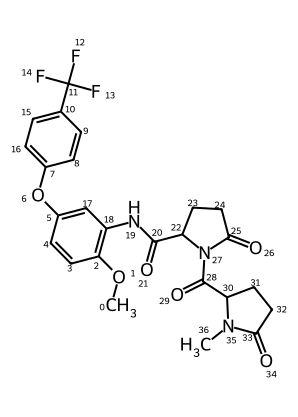 COc1ccc(Oc2ccc(C(F)(F)F)cc2)cc1NC(=O)C1CCC(=O)N1C(=O)C1CCC(=O)N1C